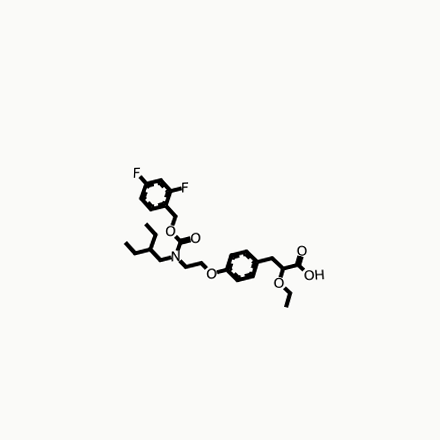 CCOC(Cc1ccc(OCCN(CC(CC)CC)C(=O)OCc2ccc(F)cc2F)cc1)C(=O)O